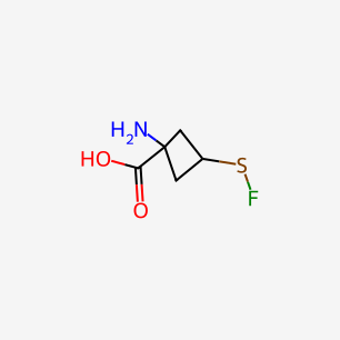 NC1(C(=O)O)CC(SF)C1